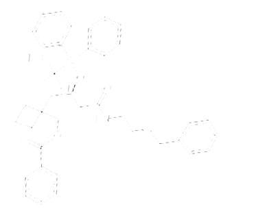 CC(C)(C)[Si](OC(CC(=O)NCCSCc1ccccc1)CC1(COC(=O)c2ccccc2)CCC1)(c1ccccc1)c1ccccc1